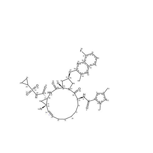 Cc1cc(C(=O)N[C@H]2CCCCC/C=C\[C@@H]3C[C@@]3(C(=O)NS(=O)(=O)C3CC3)NC(=O)[C@@H]3C[C@@H](Oc4nc5c(F)cccc5nc4C)CN3C2=O)n(C)n1